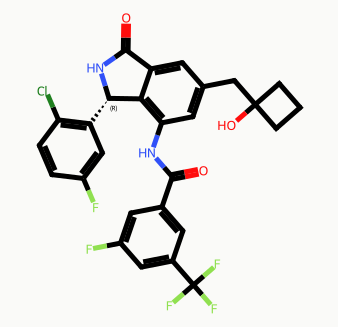 O=C(Nc1cc(CC2(O)CCC2)cc2c1[C@H](c1cc(F)ccc1Cl)NC2=O)c1cc(F)cc(C(F)(F)F)c1